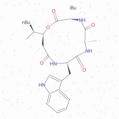 CCCC[C@H](C)[C@@H]1CC(=O)N[C@H](Cc2c[nH]c3ccccc23)C(=O)N[C@@H](C)C(=O)N[C@H]([C@H](C)CC)C(=O)O1